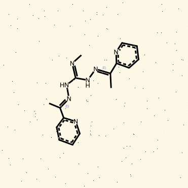 CN=C(N/N=C(\C)c1ccccn1)N/N=C(\C)c1ccccn1